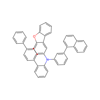 c1ccc(-c2ccc(-c3ccccc3N(c3cccc(-c4cccc5ccccc45)c3)c3ccc4oc5ccccc5c4c3)cc2)cc1